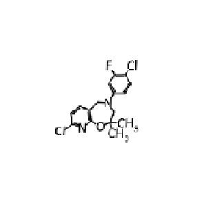 CC1(C)CN(c2ccc(Cl)c(F)c2)Cc2ccc(Cl)nc2O1